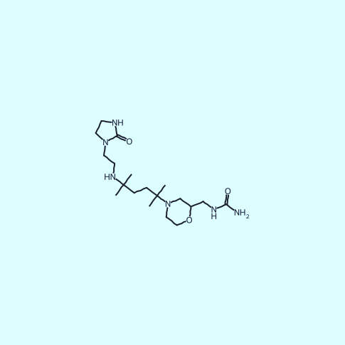 CC(C)(CCC(C)(C)N1CCOC(CNC(N)=O)C1)NCCN1CCNC1=O